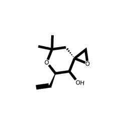 C=C[C@H]1OC(C)(C)C[C@@]2(CO2)C1O